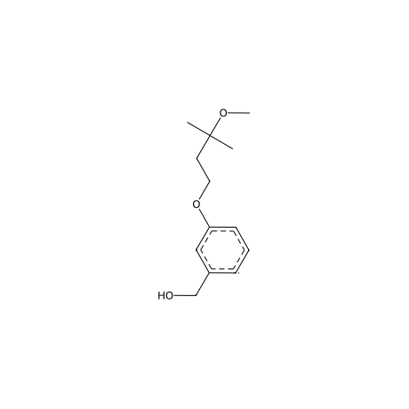 COC(C)(C)CCOc1cc[c]c(CO)c1